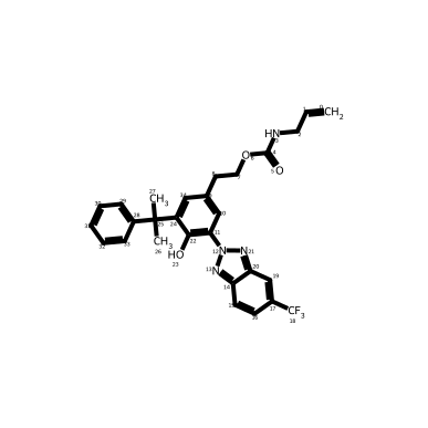 C=CCNC(=O)OCCc1cc(-n2nc3ccc(C(F)(F)F)cc3n2)c(O)c(C(C)(C)c2ccccc2)c1